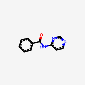 O=C(Nc1ccncn1)c1ccccc1